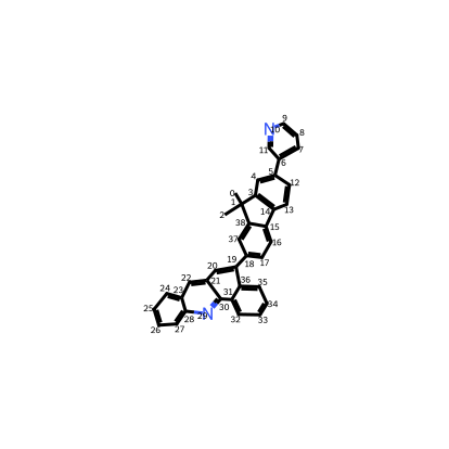 CC1(C)c2cc(-c3cccnc3)ccc2-c2ccc(-c3cc4cc5ccccc5nc4c4ccccc34)cc21